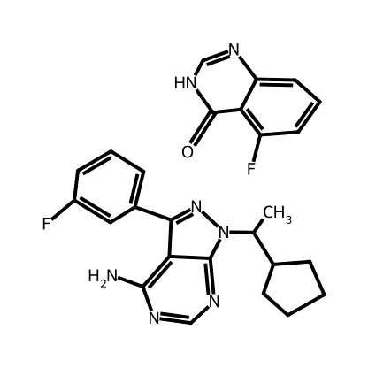 CC(C1CCCC1)n1nc(-c2cccc(F)c2)c2c(N)ncnc21.O=c1[nH]cnc2cccc(F)c12